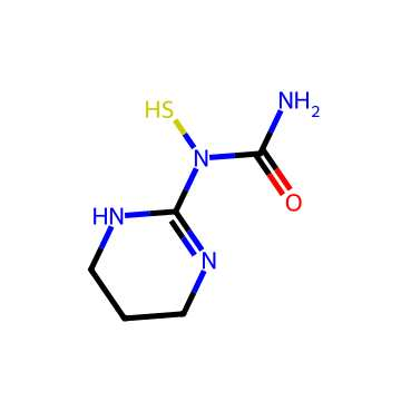 NC(=O)N(S)C1=NCCCN1